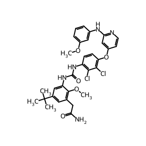 COc1cccc(Nc2cc(Oc3ccc(NC(=O)Nc4cc(C(C)(C)C)cc(CC(N)=O)c4OC)c(Cl)c3Cl)ccn2)c1